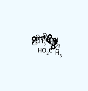 Cc1cc(C(=O)O)cc(C)c1Cn1cc(-c2cccc3c2[C@H]2C[C@H]2CN3C(=O)OCCOc2cccc(Cl)c2C)cn1